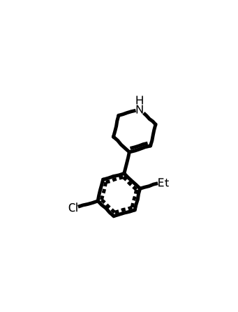 CCc1ccc(Cl)cc1C1=CCNCC1